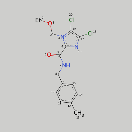 CCOCn1c(C(=O)NCc2ccc(C)cc2)nc(Cl)c1Cl